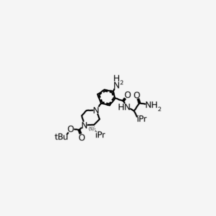 CC(C)C(NC(=O)c1cc(N2CCN(C(=O)OC(C)(C)C)[C@@H](C(C)C)C2)ccc1N)C(N)=O